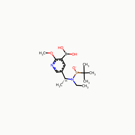 CCN([C@H](C)c1cnc(OC)c(B(O)O)c1)[S+]([O-])C(C)(C)C